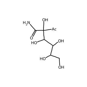 CC(=O)C(O)(C(N)=O)C(O)C(O)C(O)CO